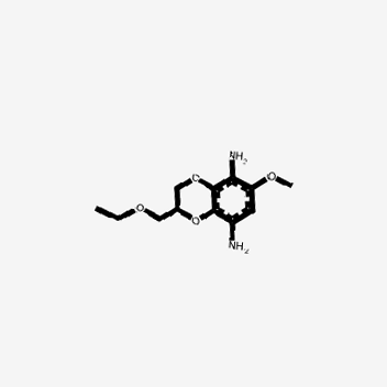 CCOCC1COc2c(N)c(OC)cc(N)c2O1